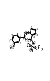 O=S(=O)(Oc1nc(-c2cccc(Br)c2)nn2cccc12)C(F)(F)F